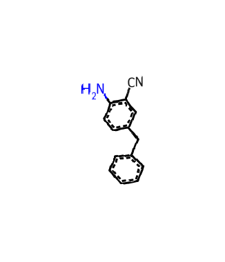 N#Cc1cc(Cc2ccccc2)ccc1N